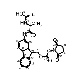 CC(NC(=O)O)C(=O)NC1=CC2C(C=C1)c1ccccc1C2COC(=O)ON1C(=O)CCC1=O